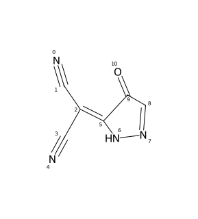 N#CC(C#N)=C1NN=CC1=O